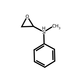 C[SiH](c1ccccc1)C1CO1